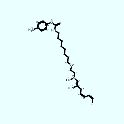 C=C(NCCCCCCCCOCCN(N)/C=C(\N)C/C=C\C=C/C)Oc1ccc(N)cc1